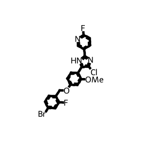 COc1cc(OCc2ccc(Br)cc2F)ccc1-c1[nH]c(-c2ccc(F)nc2)nc1Cl